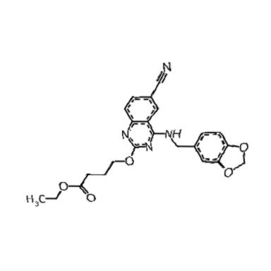 CCOC(=O)CCCOc1nc(NCc2ccc3c(c2)OCO3)c2cc(C#N)ccc2n1